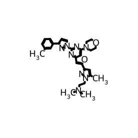 Cc1cccc(-c2ccn(-c3nc(N4CCOCC4)c4oc(-c5cc(C)n(CCN(C)C)n5)cc4n3)n2)c1